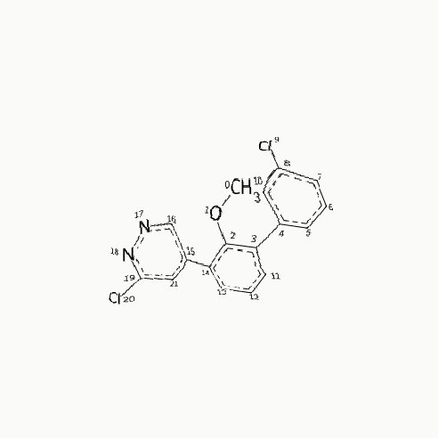 COc1c(-c2cccc(Cl)c2)cccc1-c1cnnc(Cl)c1